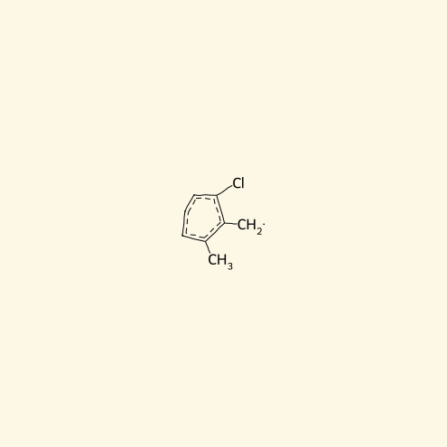 [CH2]c1c(C)cccc1Cl